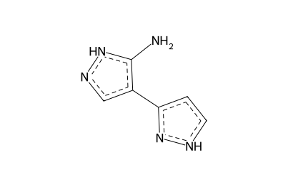 Nc1[nH]ncc1-c1cc[nH]n1